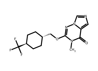 Cn1c(OC[C@H]2CC[C@H](C(F)(F)F)CC2)nn2cncc2c1=O